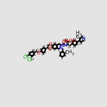 Cc1ccccc1CN1Cc2cc3c(cc2C[C@H]1C(=O)N[C@@H](Cc1ccc(-c2ccncc2C)cc1)C(=O)O)OC[C@H](c1ccc(OCc2ccc(Cl)c(Cl)c2)cc1)O3